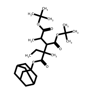 CCC(C)(C(=O)OC12CC3CC(CC(C3)C1)C2)C(C(=O)OC(C)(C)C)C(C)C(=O)OC(C)(C)C